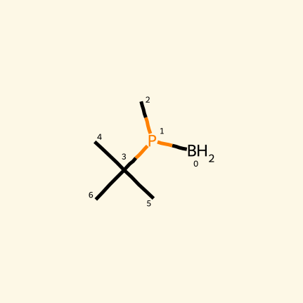 BP(C)C(C)(C)C